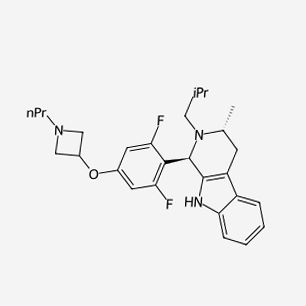 CCCN1CC(Oc2cc(F)c([C@@H]3c4[nH]c5ccccc5c4C[C@@H](C)N3CC(C)C)c(F)c2)C1